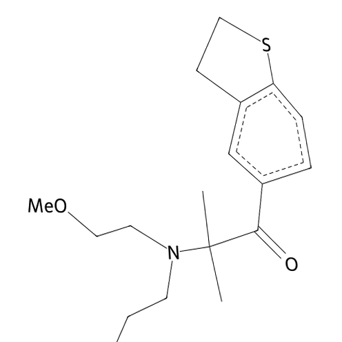 COCCN(CCOC)C(C)(C)C(=O)c1ccc2c(c1)CCS2